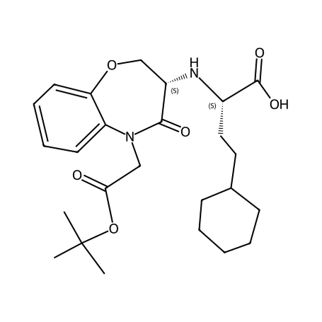 CC(C)(C)OC(=O)CN1C(=O)[C@@H](N[C@@H](CCC2CCCCC2)C(=O)O)COc2ccccc21